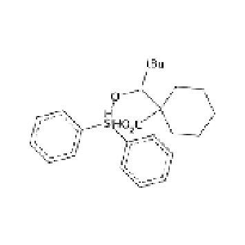 CC(C)(C)C(O[SiH](c1ccccc1)c1ccccc1)C1(C(=O)O)CCCCC1